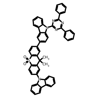 CC1(C)c2cc(-c3ccc4c(c3)c3ccccc3n4-c3nc(-c4ccccc4)nc(-c4ccccc4)n3)ccc2S(=O)(=O)c2ccc(-n3c4ccccc4c4ccccc43)cc21